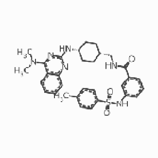 Cc1ccc(S(=O)(=O)Nc2cccc(C(=O)NC[C@H]3CC[C@@H](Nc4nc(N(C)C)c5ccccc5n4)CC3)c2)cc1